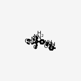 COCc1c(-c2ccc(NC(=O)Nc3cccc(C)n3)cc2)c2c(N)ncnn2c1CN1CCOCC1